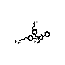 CCCCc1ccc(NC(c2ccc(CCCC)cc2)c2nc(C3C=CC=CC3)cn2C)cc1